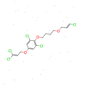 ClC=CCOCCCCOc1c(Cl)cc(OCC=C(Cl)Cl)cc1Cl